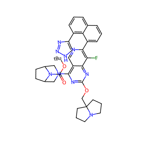 CC(C)(C)OC(=O)N1C2CCC1CN(c1nc(OCC34CCCN3CCC4)nc3c(F)c(-c4cccc5cccc(-c6c[nH]nn6)c45)ncc13)C2